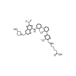 COc1nc(-c2cccc(-c3cccc(Nc4nc(C(F)F)nc5cc(CN6CC[C@@H](O)C6)cnc45)c3C)c2Cl)cnc1CNCCCCC(=O)O